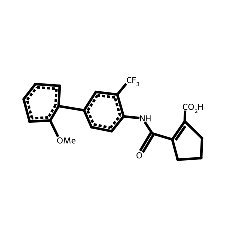 COc1ccccc1-c1ccc(NC(=O)C2=C(C(=O)O)CCC2)c(C(F)(F)F)c1